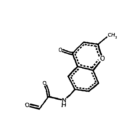 Cc1cc(=O)c2cc(NC(=O)C=O)ccc2o1